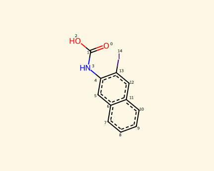 O=C(O)Nc1cc2ccccc2cc1I